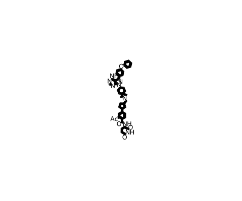 CC(=O)c1cc(C2CCC(CN3CC4(CCC(n5nc(-c6ccc(Oc7ccccc7)cc6)c6c(N)ncnc65)CC4)C3)C2)ccc1C(=O)N[C@H]1CCC(=O)NC1=O